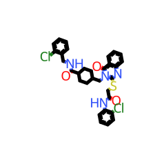 O=C(CSc1nc2ccccc2c(=O)n1CC1CCC(C(=O)NCc2ccccc2Cl)CC1)Nc1ccccc1Cl